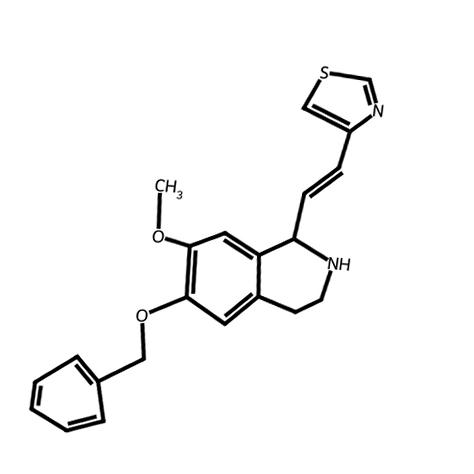 COc1cc2c(cc1OCc1ccccc1)CCNC2C=Cc1cscn1